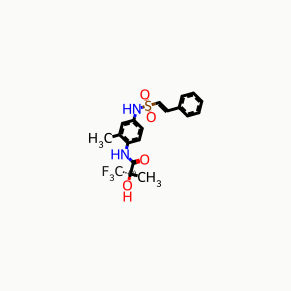 Cc1cc(NS(=O)(=O)C=Cc2ccccc2)ccc1NC(=O)[C@@](C)(O)C(F)(F)F